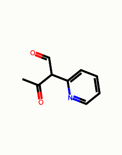 CC(=O)C(C=O)c1ccccn1